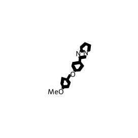 COc1ccc(COc2ccc(-c3cn4ccccc4n3)cc2)cc1